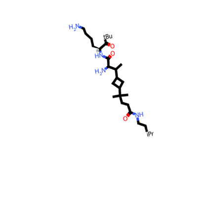 CC(C)CCNC(=O)CCC(C)(C)C1CC(C(C)C(N)C(=O)N[C@@H](CCCCN)C(=O)C(C)(C)C)C1